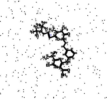 [2H]C([2H])([2H])N(C/C=C/C(=O)N(C)C(C)C(=O)NCCc1cccc(Nc2nc(N(C)C(C)C)c(CC)nc2C(N)=O)c1)C([2H])([2H])[2H]